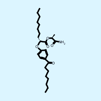 CCCCCCCC[C@@H](Oc1ccc(C(=O)CCCCCCC)cc1)C(=O)O[C@@H](C)C(N)=O